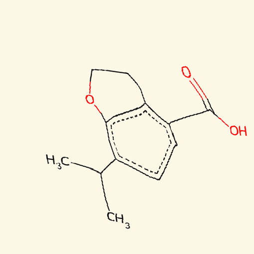 CC(C)c1ccc(C(=O)O)c2c1OCC2